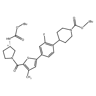 Cc1cc(-c2ccc(C3CCN(C(=O)OC(C)(C)C)CC3)c(F)c2)sc1C(=O)N1CC[C@H](NC(=O)OC(C)(C)C)C1